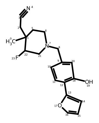 CC1(CC#N)CCN(Cc2ccc(-c3ccco3)c(O)c2)CC1F